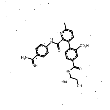 Cc1ccc(-c2ccc(C(=O)N[C@H](CO)C(C)(C)C)cc2C(=O)O)c(C(=O)Nc2ccc(C(=N)N)cc2)n1